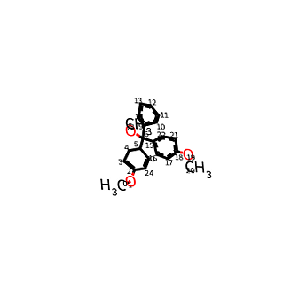 COC1=CCC(C(OC)(c2ccccc2)c2ccc(OC)cc2)C=C1